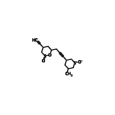 C#CC1CC(CC#CC2CC(C)C[S+]([O-])C2)OS(=O)C1